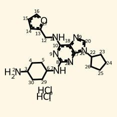 Cl.Cl.NC1CCC(Nc2nc(NCc3ccco3)c3ncn(C4CCCC4)c3n2)CC1